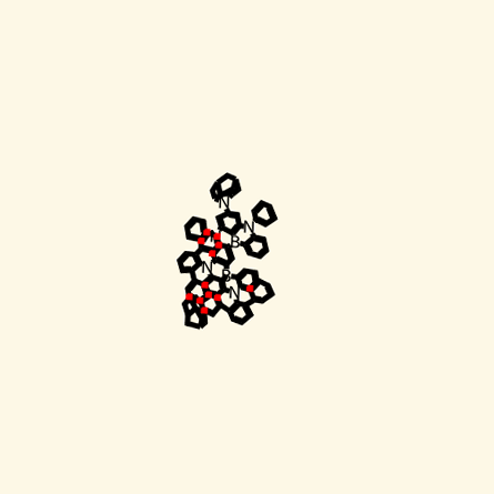 c1ccc(-c2cccc(-c3ccccc3)c2N2c3ccccc3B3c4cc5c(cc4N(c4c(-c6ccccc6)cccc4-c4ccccc4)c4cc(N6C7CC8CC(C7)CC6C8)cc2c43)N(c2ccccc2)c2cc(N3C4CC6CC(C4)CC3C6)cc3c2B5c2ccccc2N3c2ccccc2)cc1